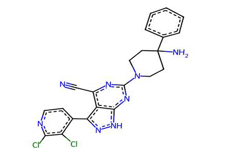 N#Cc1nc(N2CCC(N)(c3ccccc3)CC2)nc2[nH]nc(-c3ccnc(Cl)c3Cl)c12